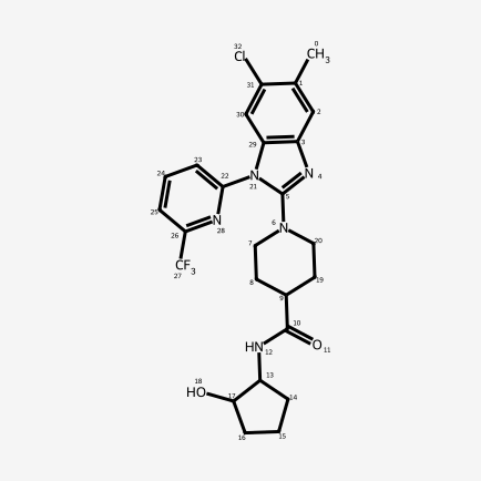 Cc1cc2nc(N3CCC(C(=O)NC4CCCC4O)CC3)n(-c3cccc(C(F)(F)F)n3)c2cc1Cl